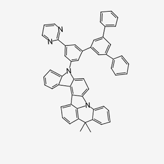 CC1(C)c2ccccc2-n2c3ccc4c(c5ccccc5n4-c4cc(-c5cc(-c6ccccc6)cc(-c6ccccc6)c5)cc(-c5ncccn5)c4)c3c3cccc1c32